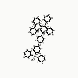 O=P(c1ccccc1)(c1ccccc1)c1ccc(-c2ccc(-c3c4ccccc4c(-c4ccccc4)c4c5ccccc5c5ccccc5c34)cc2)cc1